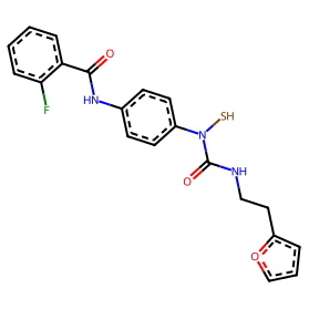 O=C(Nc1ccc(N(S)C(=O)NCCc2ccco2)cc1)c1ccccc1F